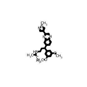 COc1cc(OC)cc(C(CCNC(C)C)c2ccc3ncc(-c4cnn(C)c4)nc3c2)c1